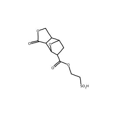 O=C(OCCS(=O)(=O)O)C1CC2OC1C1C(=O)OCC21